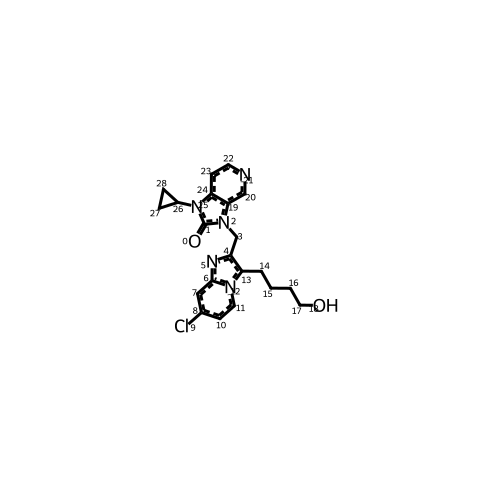 O=c1n(Cc2nc3cc(Cl)ccn3c2CCCCO)c2cnccc2n1C1CC1